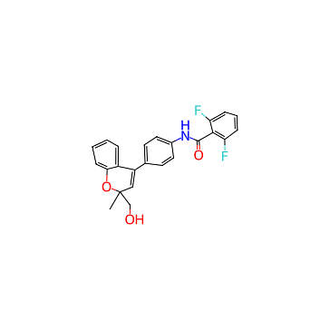 CC1(CO)C=C(c2ccc(NC(=O)c3c(F)cccc3F)cc2)c2ccccc2O1